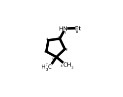 CCNC1CCC(C)(C)C1